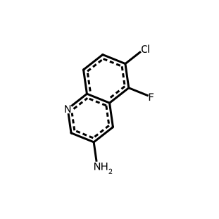 Nc1cnc2ccc(Cl)c(F)c2c1